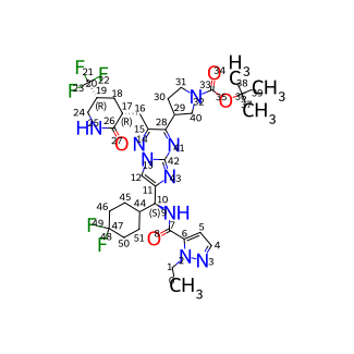 CCn1nccc1C(=O)N[C@H](c1cn2nc(C[C@H]3C[C@@H](C(F)(F)F)CNC3=O)c(C3CCN(C(=O)OC(C)(C)C)C3)nc2n1)C1CCC(F)(F)CC1